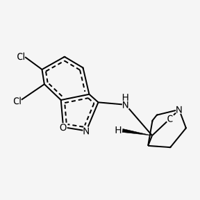 Clc1ccc2c(N[C@@H]3CN4CCC3CC4)noc2c1Cl